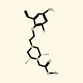 C=Cc1cc([N+](=O)[O-])cc(F)c1OCCN1C[C@@H](C)N(CC(=O)OC(C)(C)C)[C@@H](C)C1